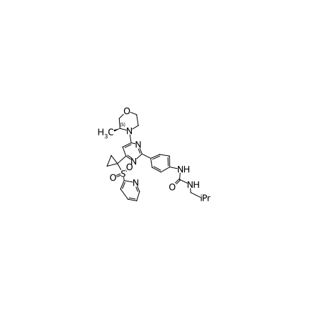 CC(C)CNC(=O)Nc1ccc(-c2nc(N3CCOC[C@@H]3C)cc(C3(S(=O)(=O)c4ccccn4)CC3)n2)cc1